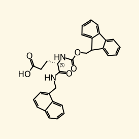 O=C(O)CC[C@H](NC(=O)OCC1c2ccccc2-c2ccccc21)C(=O)NCc1cccc2ccccc12